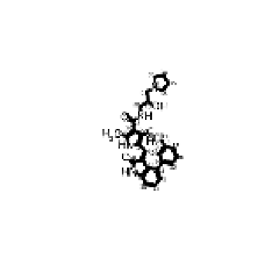 Cc1[nH]c(C=C2C(=O)Nc3cccc(-c4cccc(Cl)c4)c32)c(C)c1C(=O)NCC(O)CN1CCCC1